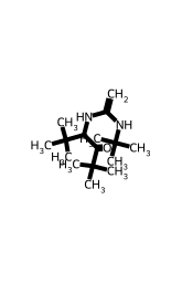 C=C(NC(C(=O)C(C)(C)C)C(C)(C)C)NC(C)(C)C